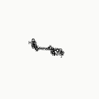 Nc1ncnc2c1c(-c1ccc(Oc3ccccc3)cc1)nn2C1CCCN(CCCCCCCCc2cccc3c2CN(C2CCC(=O)NC2=O)C3=O)C1